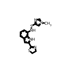 Cn1cnc(SNc2cccc3cc(C4=NCCS4)[nH]c23)c1